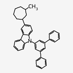 CC1CCCCC(c2ccc3c(c2)c2ccccc2n3-c2cc(-c3ccccc3)cc(-c3ccccc3)c2)C1